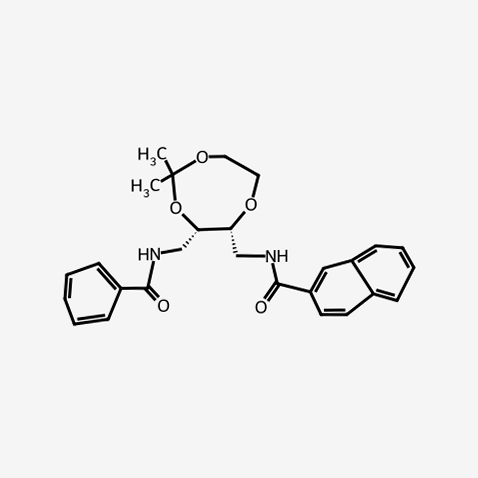 CC1(C)OCCO[C@H](CNC(=O)c2ccc3ccccc3c2)[C@H](CNC(=O)c2ccccc2)O1